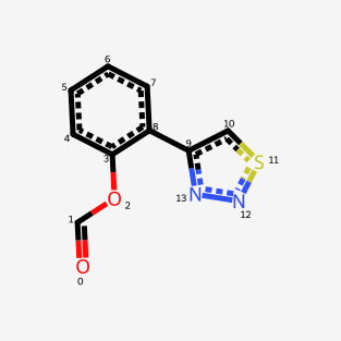 O=COc1ccccc1-c1csnn1